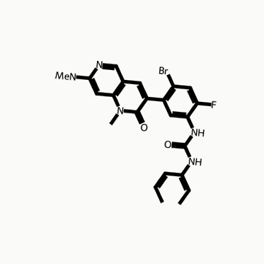 C/C=C\C(=C/C)NC(=O)Nc1cc(-c2cc3cnc(NC)cc3n(C)c2=O)c(Br)cc1F